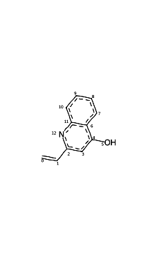 C=Cc1cc(O)c2ccccc2n1